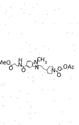 COC(=O)CCNC(=O)c1ccc2c(c1)nc(CCC1CCN(C(=O)OCOC(C)=O)CC1)n2C